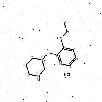 CCOc1cccnc1O[C@@H]1CCCNC1.Cl